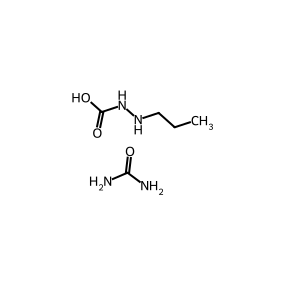 CCCNNC(=O)O.NC(N)=O